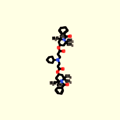 CC1(C)CC(OC(=O)CCN(CCC(=O)OC2CC(C)(C)N(C(=O)c3ccccc3)C(C)(C)C2)C2CCCCC2)CC(C)(C)N1C(=O)c1ccccc1